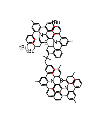 Cc1ccc2c(c1)B1c3cc(C)ccc3N(c3c(-c4cccc(CC(C)(C)c5ccc6c(c5)B5c7cc(C(C)(C)C)ccc7N(c7c(-c8ccccc8)cc(C)cc7-c7ccc(C(C)(C)C)cc7)c7cccc(c75)N6c5c(-c6ccccc6)cc(C)cc5-c5ccc(C(C)(C)C)cc5)c4)cc(C)cc3-c3ccccc3C)c3cccc(c31)N2c1c(-c2ccccc2)cc(C)cc1-c1ccccc1C